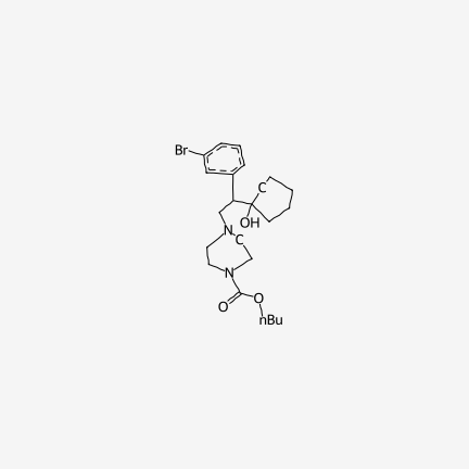 CCCCOC(=O)N1CCN(CC(c2cccc(Br)c2)C2(O)CCCCC2)CC1